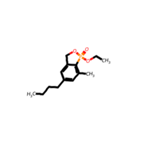 CCCCc1cc(C)c2c(c1)COP2(=O)OCC